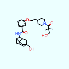 CC(C)(CO)C(=O)N1CCC(CCOc2cccc(C(=O)NC3C4CC5CC3CC(CO)(C5)C4)c2)CC1